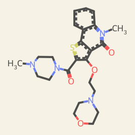 CN1CCN(C(=O)c2sc3c(c2OCCN2CCOCC2)c(=O)n(C)c2ccccc32)CC1